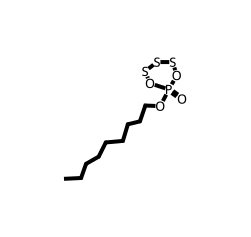 CCCCCCCCCOP1(=O)OSSSO1